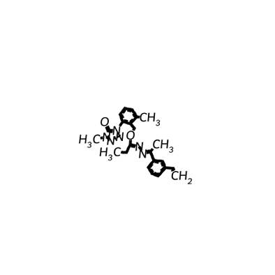 C=Cc1cccc(/C(C)=N/N=C(\CC)OCc2c(C)cccc2-n2nnn(C)c2=O)c1